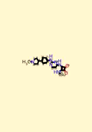 CN1CCC(c2ccc(Nc3nccc(Nc4c(NC(C)(C)C)c(=O)c4=O)n3)cc2)CC1